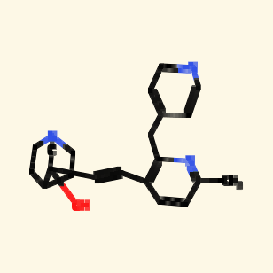 Cc1ccc(C#CC2(O)CN3CCC2CC3)c(Cc2ccncc2)n1